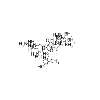 Bc1c(B)c(B)c(C(B)(B)CNC(=O)[C@](B)(CCCCN)NC(=O)[C@H](Cc2c(C)cc(O)cc2C)NC(=O)[C@H](N)CCCNC(=N)N)c(B)c1B